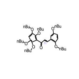 CCCCOc1ccc(OCCCC)c(/C=C/C(=O)c2c(OCCCC)c(OCCCC)cc(OCCCC)c2OCCCC)c1